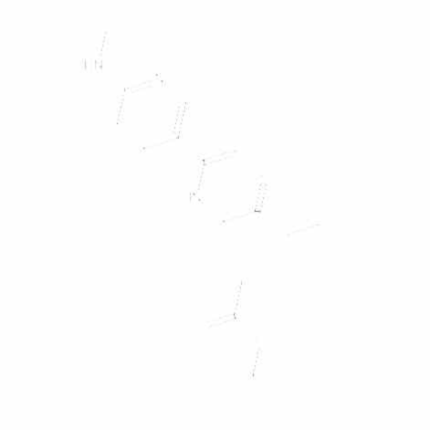 CCOC(=O)CC[C@H](NC(=O)c1ccc(NC)nc1)C(=O)OCC